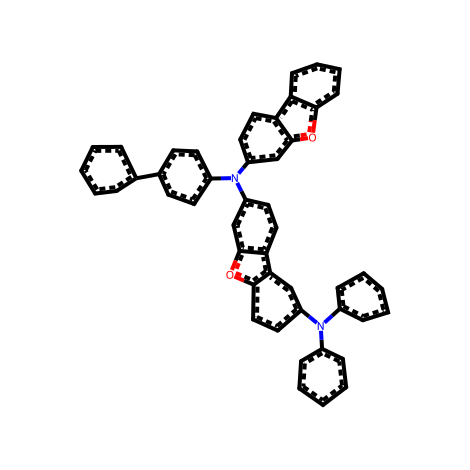 c1ccc(-c2ccc(N(c3ccc4c(c3)oc3ccccc34)c3ccc4c(c3)oc3ccc(N(c5ccccc5)c5ccccc5)cc34)cc2)cc1